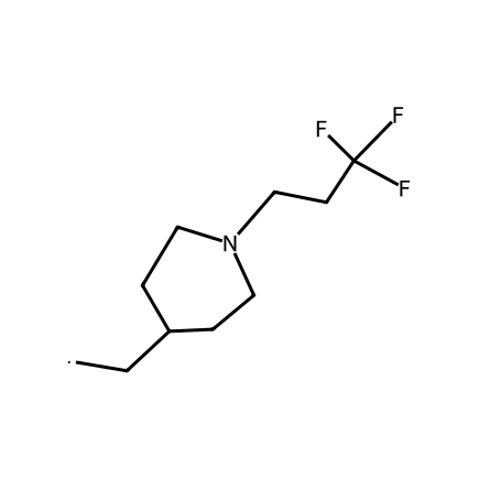 [CH2]CC1CCN(CCC(F)(F)F)CC1